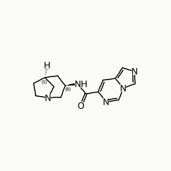 O=C(N[C@@H]1C[C@@H]2CCN(C2)C1)c1cc2cncn2cn1